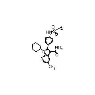 NC(=O)c1c(-c2ccc(NS(=O)(=O)C3CC3)cc2)n(C2CCCCC2)c2ncc(C(F)(F)F)cc12